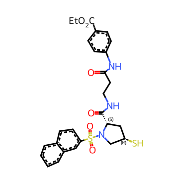 CCOC(=O)c1ccc(NC(=O)CCNC(=O)[C@@H]2C[C@@H](S)CN2S(=O)(=O)c2ccc3ccccc3c2)cc1